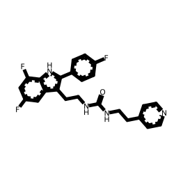 O=C(NCCc1ccncc1)NCCc1c(-c2ccc(F)cc2)[nH]c2c(F)cc(F)cc12